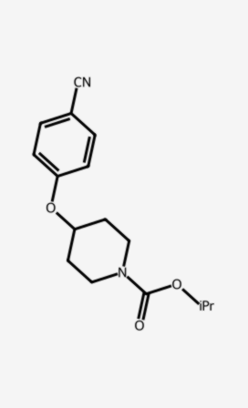 CC(C)OC(=O)N1CCC(Oc2ccc(C#N)cc2)CC1